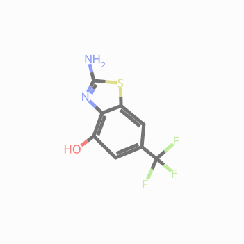 Nc1nc2c(O)cc(C(F)(F)F)cc2s1